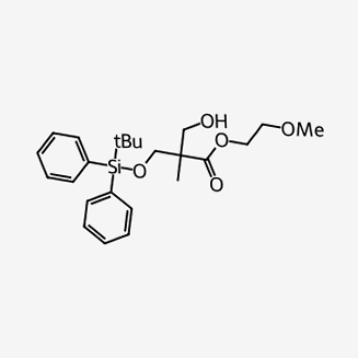 COCCOC(=O)C(C)(CO)CO[Si](c1ccccc1)(c1ccccc1)C(C)(C)C